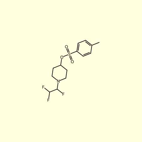 Cc1ccc(S(=O)(=O)OC2CCN(C(F)C(F)F)CC2)cc1